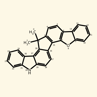 CC1(C)c2ccc3c(oc4ccccc43)c2-c2ccc3[nH]c4ccccc4c3c21